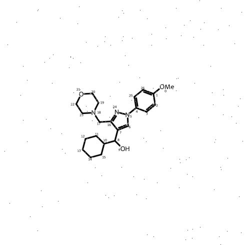 COc1ccc(-n2cc(C(O)C3CCCCC3)c(CN3CCOCC3)n2)cc1